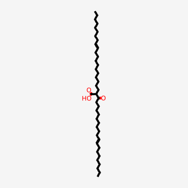 CCCCCCCCC=CCCCCCCCCCCC(C(=O)O)C(=O)CCCCCCCCCC=CCCCCCCCC